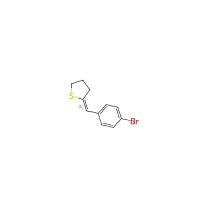 Brc1ccc(/C=C2\CCCS2)cc1